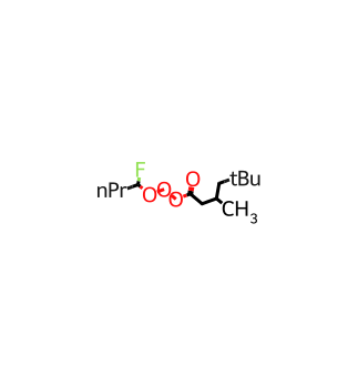 CCCC(F)OOOC(=O)CC(C)CC(C)(C)C